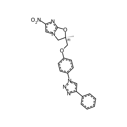 C[C@]1(COc2ccc(-n3cc(-c4ccccc4)nn3)cc2)Cn2cc([N+](=O)[O-])nc2O1